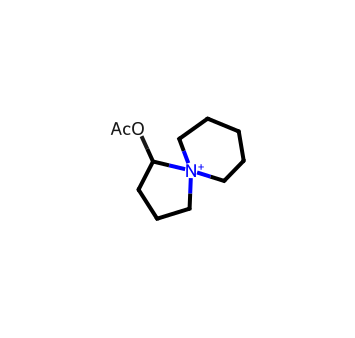 CC(=O)OC1CCC[N+]12CCCCC2